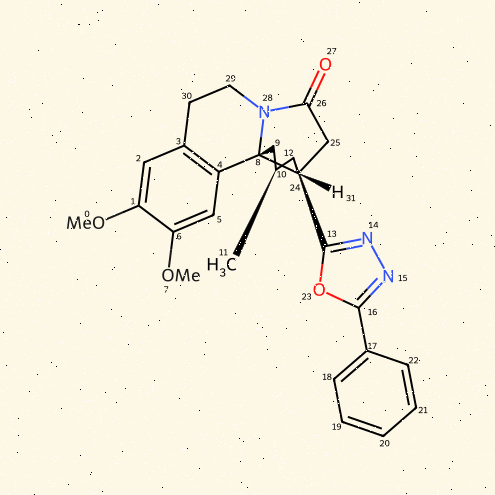 COc1cc2c(cc1OC)[C@@]13C[C@H](C)[C@@H](c4nnc(-c5ccccc5)o4)[C@@H]1CC(=O)N3CC2